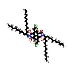 CCCCCCCCCCCCC(CCCCCCCCCC)CN1C(=O)c2c3cc(Br)sc3c3c4c(c5cc(Br)sc5c(c24)C1=O)C(=O)N(CC(CCCCCCCCCC)CCCCCCCCCCCC)C3=O